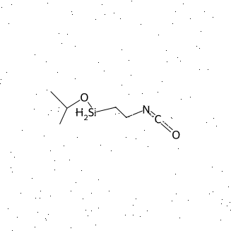 CC(C)O[SiH2]CCN=C=O